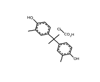 Cc1cc(C(C)(C)c2ccc(O)c(C)c2)ccc1O.O=C(O)Cl